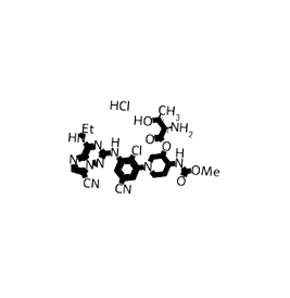 CCNc1nc(Nc2cc(C#N)cc(N3CCC(NC(=O)OC)C(OC(=O)[C@@H](N)[C@@H](C)O)C3)c2Cl)nn2c(C#N)cnc12.Cl